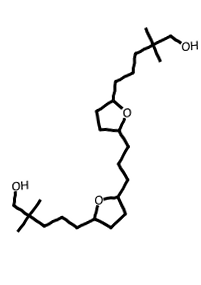 CC(C)(CO)CCCC1CCC(CCCC2CCC(CCCC(C)(C)CO)O2)O1